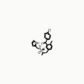 Cc1ccc(CC(C)S(=O)(=O)NCc2ccc[nH]2)cc1C(=O)c1ccc(Cl)cc1